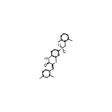 Cc1ccc(/C=C2/Sc3cc(S(=O)(=O)Cc4c(C)cccc4C)ccc3NC2=O)c(C)c1